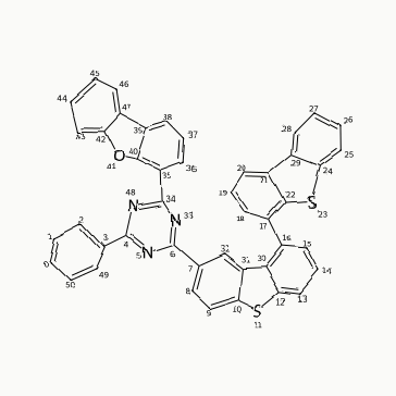 c1ccc(-c2nc(-c3ccc4sc5cccc(-c6cccc7c6sc6ccccc67)c5c4c3)nc(-c3cccc4c3oc3ccccc34)n2)cc1